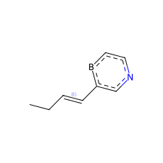 CC/C=C/c1bccnc1